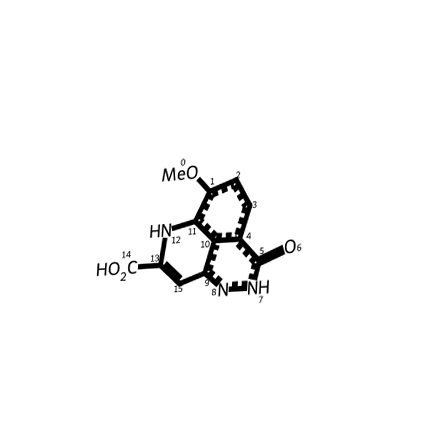 COc1ccc2c(=O)[nH]nc3c2c1NC(C(=O)O)=C3